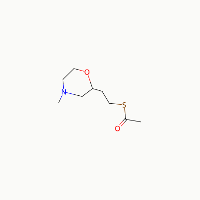 CC(=O)SCCC1CN(C)CCO1